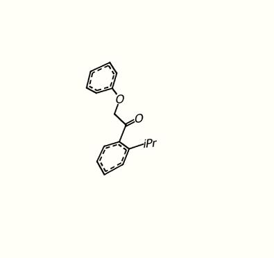 CC(C)c1ccccc1C(=O)COc1ccccc1